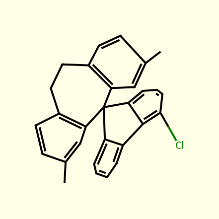 Cc1ccc2c(c1)C1(c3cc(C)ccc3CC2)c2ccccc2-c2c(Cl)cccc21